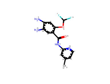 Nc1cc(OC(F)F)c(C(=O)Nc2cc(C(F)(F)F)ccn2)cc1N